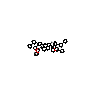 Fc1ccc(-c2cccc(-c3ccccc3)c2)c(-c2cccc(-c3ccccc3)c2)c1N(c1ccccc1)c1ccc2ccc3c(N(c4ccccc4)c4c(F)ccc(-c5cccc(-c6ccccc6)c5)c4-c4cccc(-c5ccccc5)c4)ccc4ccc1c2c43